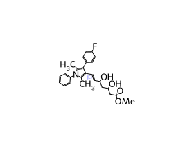 COC(=O)CC(O)CC(O)/C=C/c1c(-c2ccc(F)cc2)c(C)n(-c2ccccc2)c1C